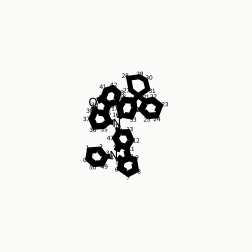 c1ccc(-n2c3ccccc3c3ccc(N(c4ccc(C5(c6ccccc6)CCCCC5)cc4)c4cccc5oc6ccccc6c45)cc32)cc1